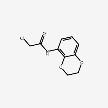 O=C(CCl)Nc1cccc2c1OCCO2